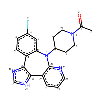 CC(=O)N1CCC(N2c3cc(F)ccc3-c3nc[nH]c3-c3cccnc32)CC1